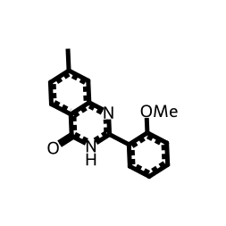 COc1ccccc1-c1nc2cc(C)ccc2c(=O)[nH]1